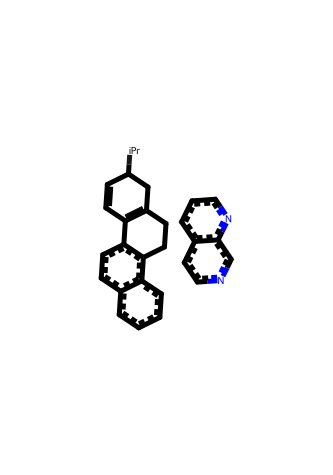 CC(C)C1C=CC2=C(CCc3c2ccc2ccccc32)C1.c1cnc2cnccc2c1